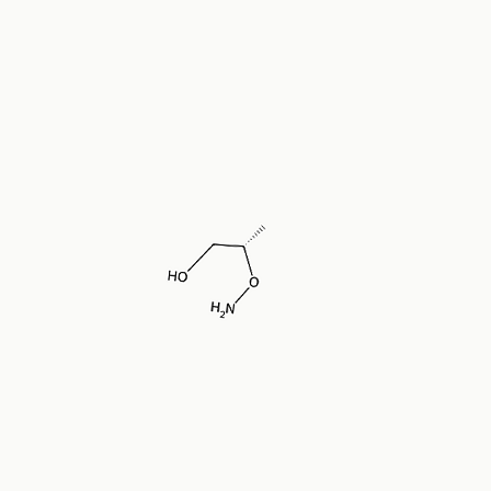 C[C@@H](CO)ON